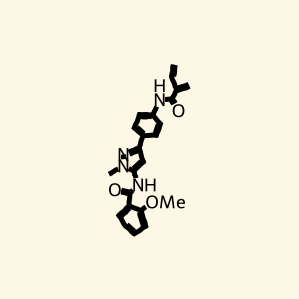 C=CC(=C)C(=O)Nc1ccc(-c2cc(NC(=O)c3ccccc3OC)n(C)n2)cc1